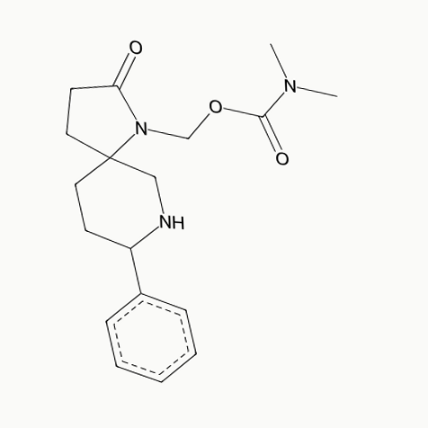 CN(C)C(=O)OCN1C(=O)CCC12CCC(c1ccccc1)NC2